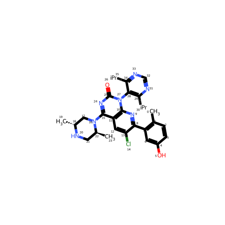 Cc1ccc(O)cc1-c1nc2c(cc1Cl)c(N1C[C@@H](C)NC[C@@H]1C)nc(=O)n2-c1c(C(C)C)ncnc1C(C)C